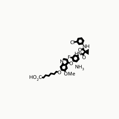 COc1cc2c(Oc3ccc(NC(=O)C4(C(=O)Nc5cccc(Cl)c5)CC4)cc3F)ccnc2cc1OCCCCCCC(=O)O.N